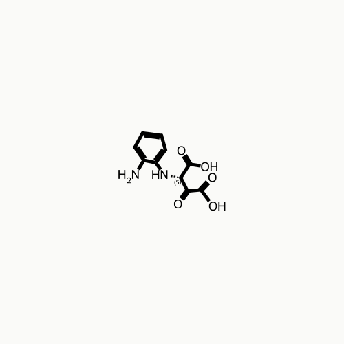 Nc1ccccc1N[C@H](C(=O)O)C(=O)C(=O)O